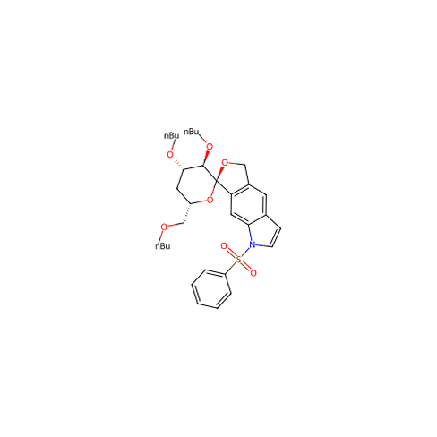 CCCCOC[C@@H]1C[C@H](OCCCC)[C@@H](OCCCC)[C@@]2(OCc3cc4ccn(S(=O)(=O)c5ccccc5)c4cc32)O1